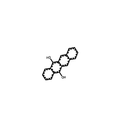 Oc1c2ccccc2c(O)c2cc3ccccc3cc12